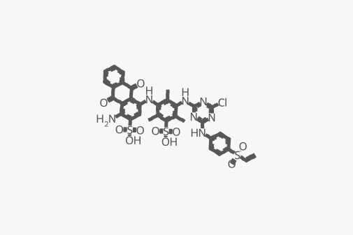 C=CS(=O)(=O)c1ccc(Nc2nc(Cl)nc(Nc3c(C)c(Nc4cc(S(=O)(=O)O)c(N)c5c4C(=O)c4ccccc4C5=O)c(C)c(S(=O)(=O)O)c3C)n2)cc1